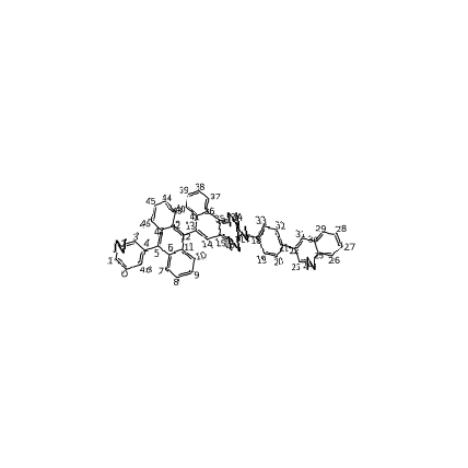 c1cncc(-c2c3ccccc3c(-c3cc4nn(-c5ccc(-c6cnc7ccccc7c6)cc5)nc4c4ccccc34)c3ccccc23)c1